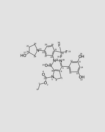 CCOC(=O)N1CCc2c(-c3cc(O)cc(O)c3)nn(-c3cc(N4CCC(O)C4)ccc3C(F)(F)F)c(=O)c21